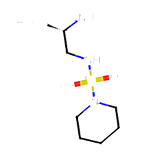 N[C@@H](CNS(=O)(=O)N1CCCCC1)C(=O)O